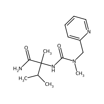 CC(C)C(C)(NC(=O)N(C)Cc1ccccn1)C(N)=O